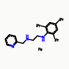 CC(C)c1cc(C(C)C)c(NCCNCc2ccccn2)c(C(C)C)c1.[Fe]